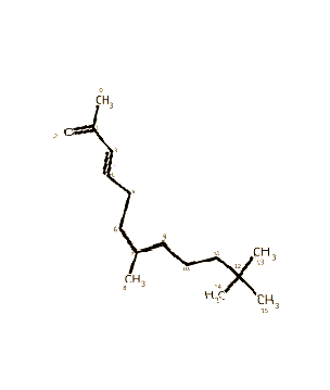 CC(=O)/C=C/CCC(C)CCCC(C)(C)C